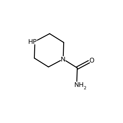 NC(=O)N1CCPCC1